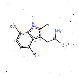 Cc1[nH]c2c([N+](=O)[O-])ccc(N)c2c1CC(N)C(=O)O